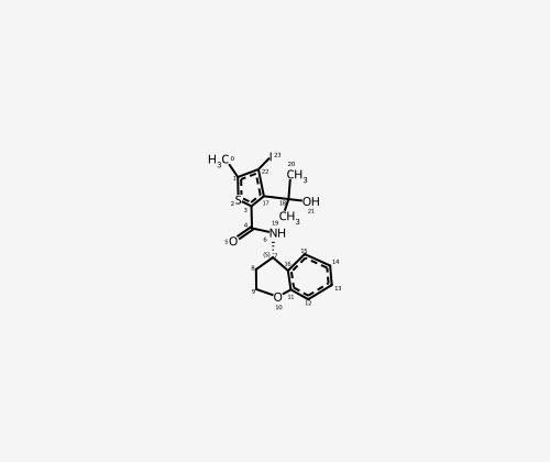 Cc1sc(C(=O)N[C@H]2CCOc3ccccc32)c(C(C)(C)O)c1I